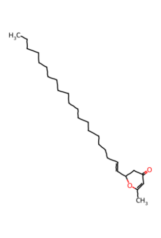 CCCCCCCCCCCCCCCCCCC/C=C/C1CC(=O)C=C(C)O1